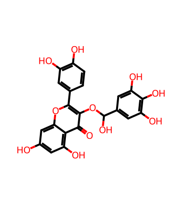 O=c1c(OC(O)c2cc(O)c(O)c(O)c2)c(-c2ccc(O)c(O)c2)oc2cc(O)cc(O)c12